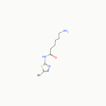 CC(C)c1cnc(NC(=O)CCCCCN)s1